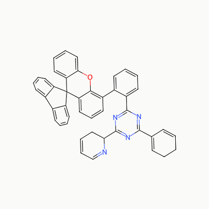 C1=CCC(c2nc(C3=CCCC=C3)nc(-c3ccccc3-c3cccc4c3Oc3ccccc3C43c4ccccc4-c4ccccc43)n2)N=C1